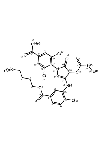 CCCCCCCCCCCCCCOC(=O)c1ccc(Cl)c(NC2=NN(c3c(Cl)cc(C(=O)OC)cc3Cl)C(=O)C2SC(=S)NCCCC)c1